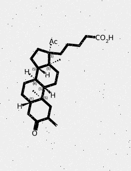 CC(=O)[C@@]1(CCCCC(=O)O)CC[C@H]2[C@@H]3CC[C@H]4CC(=O)C(C)C[C@]4(C)[C@H]3CC[C@@]21C